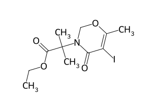 CCOC(=O)C(C)(C)N1COC(C)=C(I)C1=O